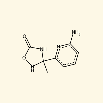 CC1(c2cccc(N)n2)NOC(=O)N1